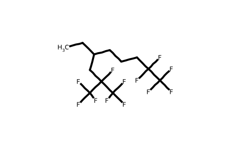 CCC(CCCC(F)(F)C(F)(F)F)CC(F)(C(F)(F)F)C(F)(F)F